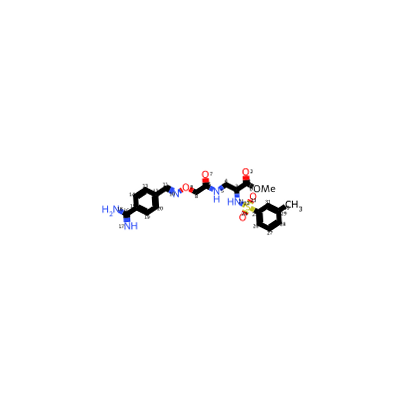 COC(=O)C(CNC(=O)CO/N=C/c1ccc(C(=N)N)cc1)NS(=O)(=O)c1cccc(C)c1